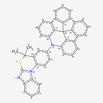 CC1(C)Sc2nc3ccccc3n2-c2ccc(N3c4ccccc4C(c4ccccc4)(c4ccccc4)c4ccccc43)cc21